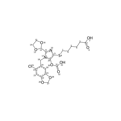 O=C(O)CCCCCSc1nc(C2OCCO2)n(Cc2cc3c(cc2Cl)OCO3)c1OC(=O)O